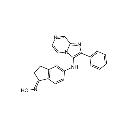 O/N=C1\CCc2cc(Nc3c(-c4ccccc4)nc4cnccn34)ccc21